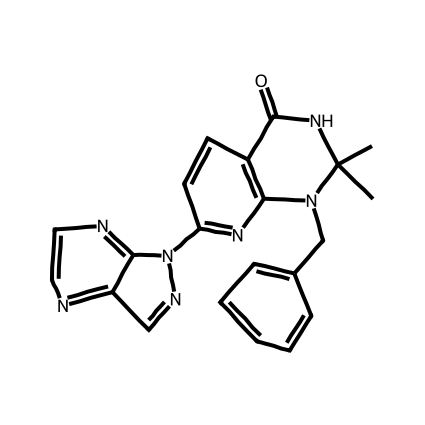 CC1(C)NC(=O)c2ccc(-n3ncc4nccnc43)nc2N1Cc1ccccc1